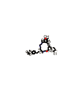 CC[C@H]1O[C@]2(CC[C@@H]1C)C[C@@H]1C[C@@H](C/C=C(\C)[C@H](OCCc3ccc(N(C)S(C)(=O)=O)cc3)[C@@H](C)/C=C/C=C3\CO[C@@H]4[C@H](O)C(C)=C[C@@H](C(=O)O1)[C@]34O)O2